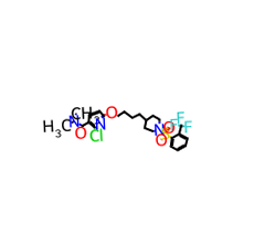 CN(C)C(=O)c1ccc(OCCCCC2CCN(S(=O)(=O)c3ccccc3C(F)(F)F)CC2)nc1Cl